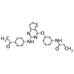 C=CC(=O)Nc1cccc(Oc2nc(Nc3ccc(C(C)=O)cc3)nc3ccsc23)c1